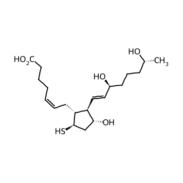 C[C@@H](O)CCC[C@H](O)/C=C/[C@@H]1[C@@H](C/C=C\CCCC(=O)O)[C@H](S)C[C@H]1O